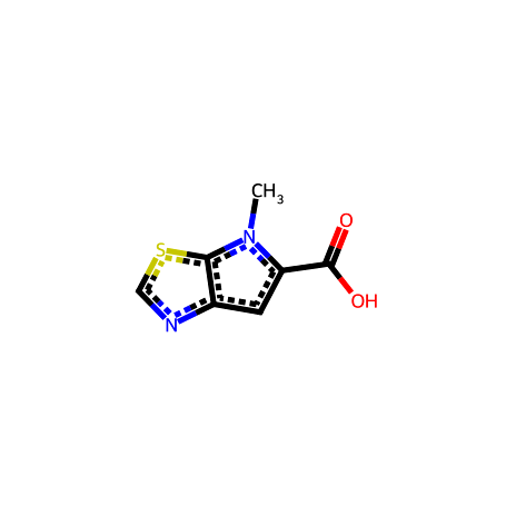 Cn1c(C(=O)O)cc2ncsc21